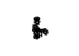 CS(=O)(=O)N1CCN(S(=O)(=O)c2ccc(-c3ccc4c(c3)OCO4)s2)[C@@H](C(=O)NOC2CCCCO2)C1